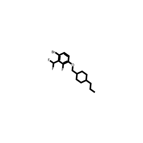 CCCC1CCC(COc2ccc(Br)c(C(F)F)c2F)CC1